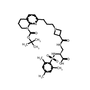 Cc1cc(C)c(S(=O)(=O)N[C@@H](CNC(=O)C2CN(CCCc3ccc4c(n3)N(C(=O)OC(C)(C)C)CCC4)C2)C(=O)O)c(C)c1